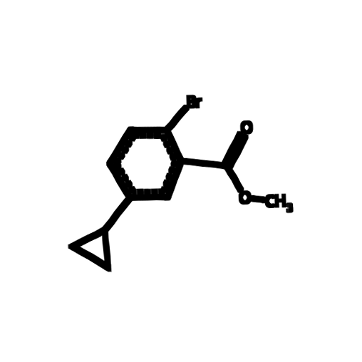 COC(=O)c1cc(C2CC2)ccc1Br